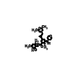 CCN(c1cc(C2CC2CN2CC(C)OC(C)C2)cc(C(=O)NCc2c(C)cc(C)[nH]c2=O)c1C)C1CCOCC1